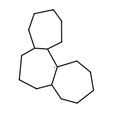 C1CC[C]2C(CC1)CCCC1CCCCCC21